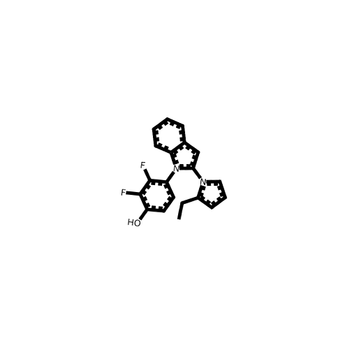 CCc1cccn1-c1cc2ccccc2n1-c1ccc(O)c(F)c1F